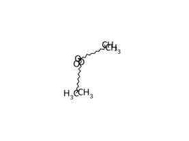 CC(C)CCCCCCCCCCC(=O)OC(=O)CCCCCCCCCCC(C)C